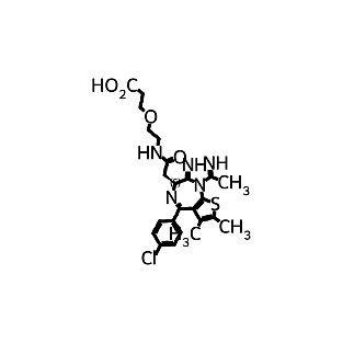 CC(=N)N1C(=N)[C@H](CC(=O)NCCOCCC(=O)O)N=C(c2ccc(Cl)cc2)c2c1sc(C)c2C